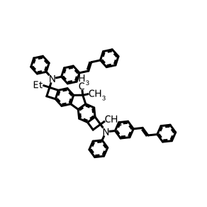 CCC1(N(c2ccccc2)c2ccc(/C=C/c3ccccc3)cc2)Cc2cc3c(cc21)C(C)(C)c1cc2c(cc1-3)CC2(C)N(c1ccccc1)c1ccc(/C=C/c2ccccc2)cc1